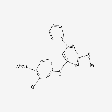 CCSc1nc(Nc2ccc(OC)c(Cl)c2)cc(-c2ccccc2)n1